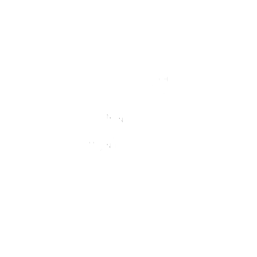 CS(=O)(=O)c1ccc(-n2cc(NC(=O)c3ccccc3)cn2)cc1